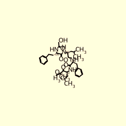 CC(C)C[C@H](NC(=O)[C@H](CCc1ccccc1)NC(=O)CO)C(=O)N[C@@H](Cc1ccccc1)C(=O)N[C@@H](CC(C)C)C(=O)[C@@]1(C)CO1